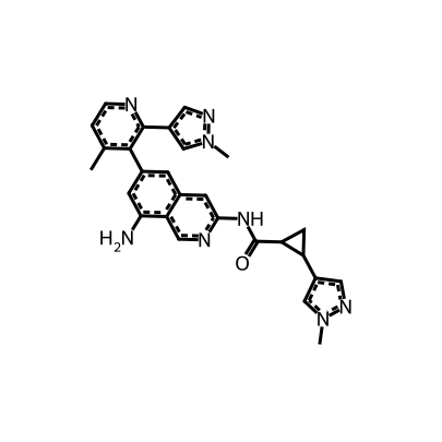 Cc1ccnc(-c2cnn(C)c2)c1-c1cc(N)c2cnc(NC(=O)C3CC3c3cnn(C)c3)cc2c1